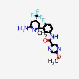 COc1cnc(C(=O)Nc2ccc(F)c([C@]3(C)C[C@@H](C(F)(F)F)CC(N)=N3)c2)cn1